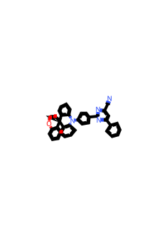 N#Cc1cc(-c2ccccc2)nc(-c2ccc(N3c4ccccc4C4(c5ccccc5Oc5ccccc54)c4ccccc43)cc2)n1